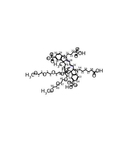 COCCOCCOCCOCCC1(C)C(/C=C/C=C2/N(CCCS(=O)(=O)O)c3ccc(S(=O)(=O)[O-])cc3C2(C)CCOCCOCCOCCOC)=[N+](CCCCCC(=O)O)c2ccc(S(=O)(=O)O)cc21